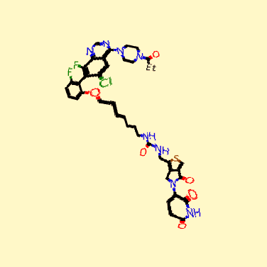 CCC(=O)N1CCN(c2ncnc3c(F)c(-c4c(F)cccc4OCCCCCCCNC(=O)NCc4scc5c4CN(C4CCC(=O)NC4=O)C5=O)c(Cl)cc23)CC1